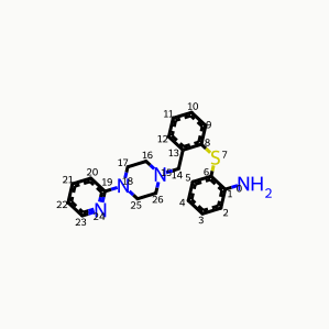 Nc1ccccc1Sc1ccccc1CN1CCN(c2ccccn2)CC1